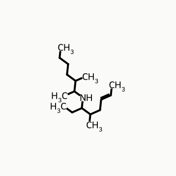 CC=CCC(C)C(CC)NC(C)C(C)CCCC